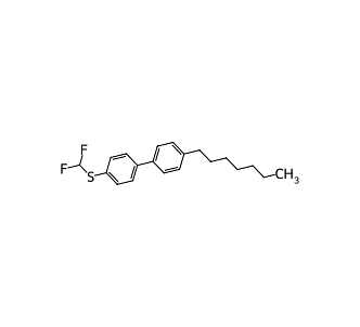 CCCCCCCc1ccc(-c2ccc(SC(F)F)cc2)cc1